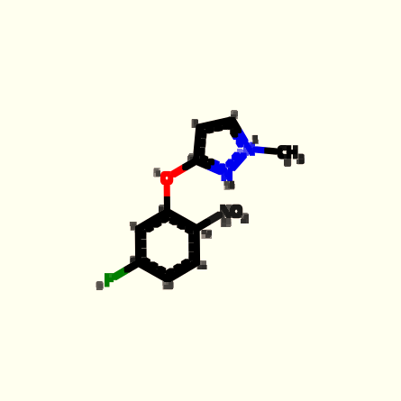 Cn1ccc(Oc2cc(F)ccc2[N+](=O)[O-])n1